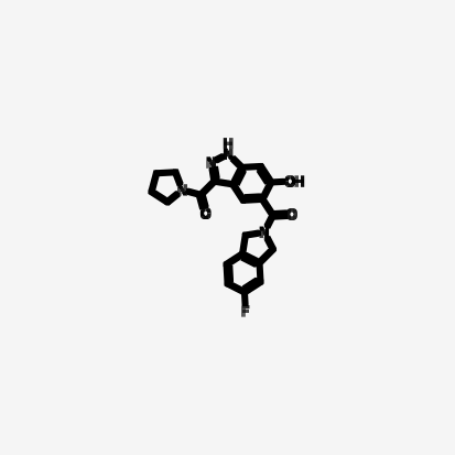 O=C(c1cc2c(C(=O)N3CCCC3)n[nH]c2cc1O)N1Cc2ccc(F)cc2C1